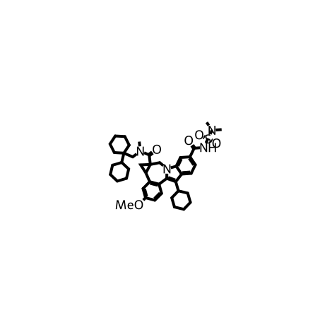 COc1ccc2c(c1)C1CC1(C(=O)N(C)CC1(C3CCCCC3)CCCCC1)Cn1c-2c(C2CCCCC2)c2ccc(C(=O)NS(=O)(=O)N(C)C)cc21